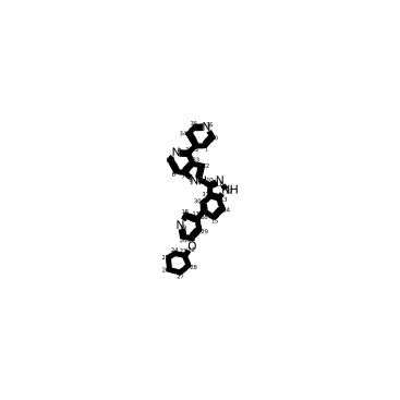 c1cc(-c2nccc3[nH]c(-c4n[nH]c5ccc(-c6cncc(OC7CCCCC7)c6)cc45)cc23)ccn1